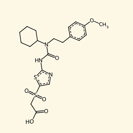 COc1ccc(CCN(C(=O)Nc2ncc(S(=O)(=O)CC(=O)O)s2)C2CCCCC2)cc1